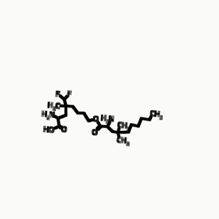 CCCCCCC(C)(C)CC(N)C(=O)OCCCCC(C)(CC(N)C(=O)O)C(F)F